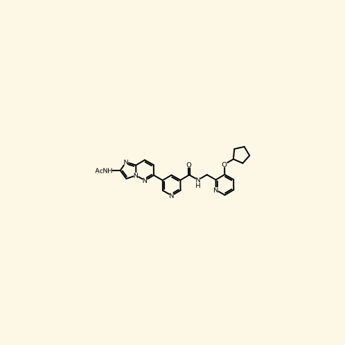 CC(=O)Nc1cn2nc(-c3cncc(C(=O)NCc4ncccc4OC4CCCC4)c3)ccc2n1